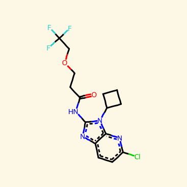 O=C(CCOCC(F)(F)F)Nc1nc2ccc(Cl)nc2n1C1CCC1